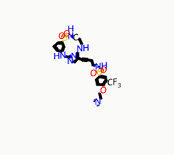 CN(C)CCOc1ccc(S(=O)(=O)NCCC#Cc2cnc3nc2NCCCNS(=O)(=O)c2cccc(c2)N3)cc1C(F)(F)F